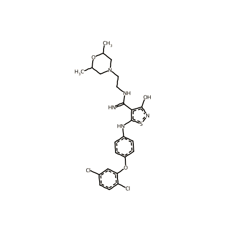 CC1CN(CCNC(=N)c2c(O)nsc2Nc2ccc(Oc3cc(Cl)ccc3Cl)cc2)CC(C)O1